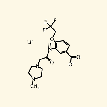 CN1CCN(CC(=O)Nc2cc(C(=O)[O-])ccc2OCC(F)(F)F)CC1.[Li+]